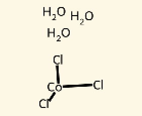 O.O.O.[Cl][Co]([Cl])[Cl]